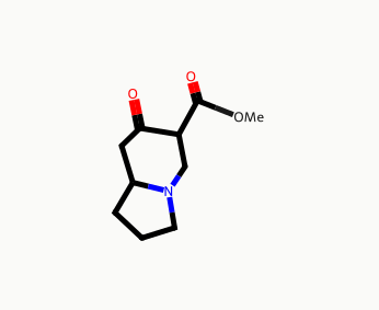 COC(=O)C1CN2CCCC2CC1=O